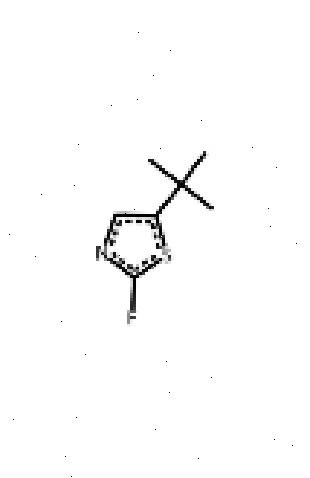 CC(C)(C)c1cnc(F)s1